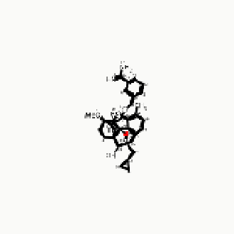 COC12CCC3(C[C@@H]1COCc1cccc(C(=N)N)c1)[C@H]1Cc4ccc(C)c5c4[C@@]3(CCN1CC1CC1)[C@H]2O5